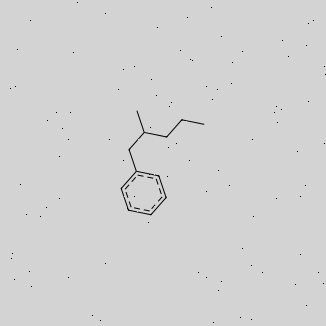 CCCC(C)Cc1ccccc1